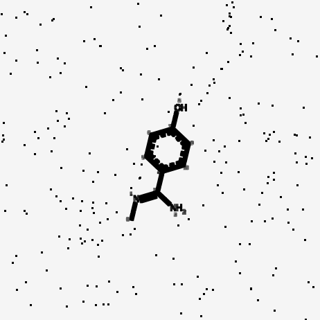 C/N=C(\N)c1ccc(O)cc1